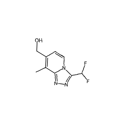 Cc1c(CO)ccn2c(C(F)F)nnc12